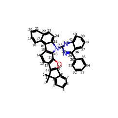 CC1(C)c2ccccc2-c2oc3c(ccc4c5c6ccccc6ccc5n(-c5nc(-c6ccccc6)c6ccccc6n5)c43)c21